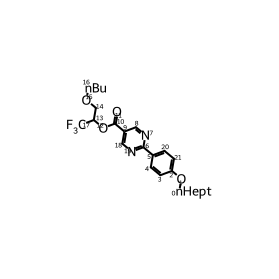 CCCCCCCOc1ccc(-c2ncc(C(=O)OC(COCCCC)C(F)(F)F)cn2)cc1